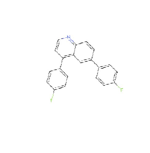 Fc1ccc(-c2ccc3nccc(-c4ccc(F)cc4)c3c2)cc1